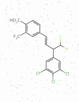 O=C(O)c1ccc(C=CC(c2cc(Cl)c(Cl)c(Cl)c2)C(F)F)cc1C(F)(F)F